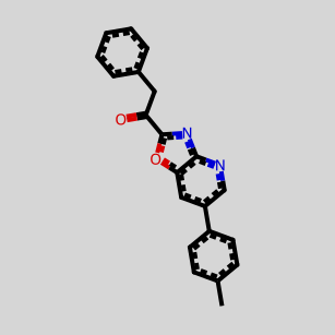 Cc1ccc(-c2cnc3nc(C(=O)Cc4ccccc4)oc3c2)cc1